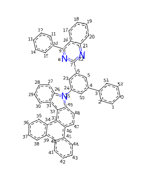 c1ccc(-c2cc(-c3nc(-c4ccccc4)c4ccccc4n3)cc(-n3c4ccccc4c4c5c6ccccc6c6ccccc6c5ccc43)c2)cc1